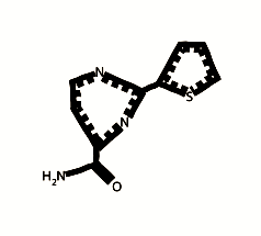 NC(=O)c1ccnc(-c2cccs2)n1